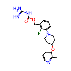 Cc1ncccc1OC1CCN(c2cccc(COC(=O)NC(=N)N)c2F)CC1